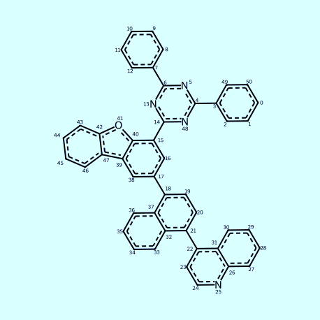 c1ccc(-c2nc(-c3ccccc3)nc(-c3cc(-c4ccc(-c5ccnc6ccccc56)c5ccccc45)cc4c3oc3ccccc34)n2)cc1